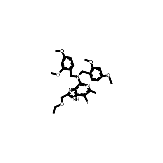 CCOCc1nc2c(N(Cc3ccc(OC)cc3OC)Cc3ccc(OC)cc3OC)nc(C)c(I)c2[nH]1